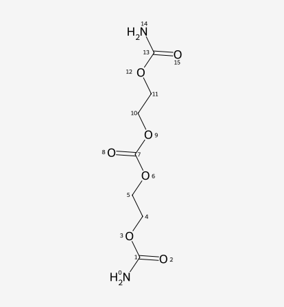 NC(=O)OCCOC(=O)OCCOC(N)=O